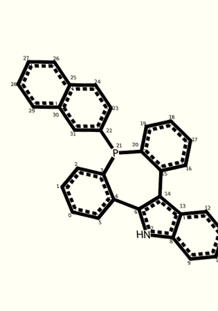 c1ccc2c(c1)-c1[nH]c3ccccc3c1-c1ccccc1P2c1ccc2ccccc2c1